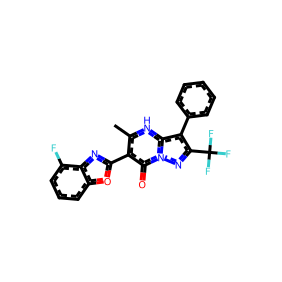 Cc1[nH]c2c(-c3ccccc3)c(C(F)(F)F)nn2c(=O)c1-c1nc2c(F)cccc2o1